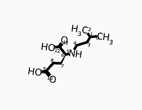 CC(C)CCN[C@@H](CCC(=O)O)C(=O)O